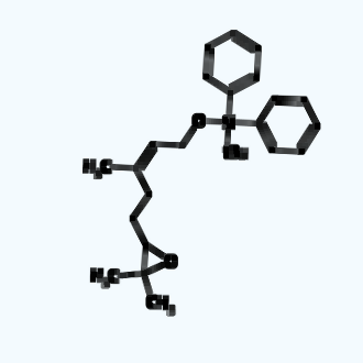 CC(=CCO[Si](c1ccccc1)(c1ccccc1)C(C)(C)C)CCC1OC1(C)C